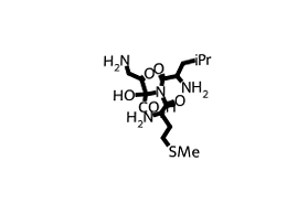 CSCCC(N)C(=O)N(C(=O)C(N)CC(C)C)C(O)(C(=O)O)C(=O)CN